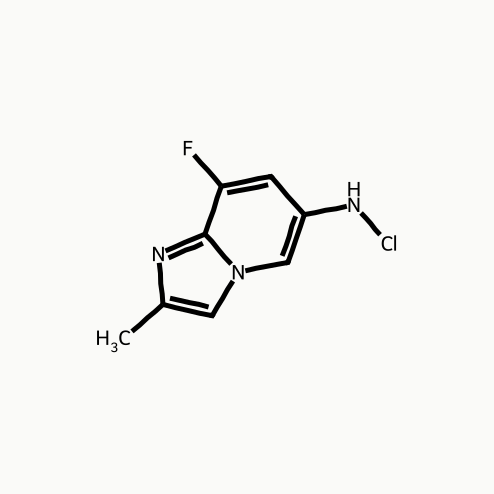 Cc1cn2cc(NCl)cc(F)c2n1